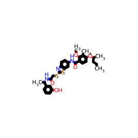 CCCC(C)Oc1ccc(C(=O)Nc2ccc3nc(SCC(=O)NC(C)c4cccc(O)c4)sc3c2)c(OC)c1C